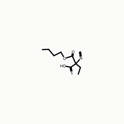 C=NC(CC)(C(=O)OCCCC)C(O)=S